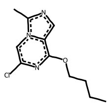 CCCCOc1nc(Cl)cn2c(C)ncc12